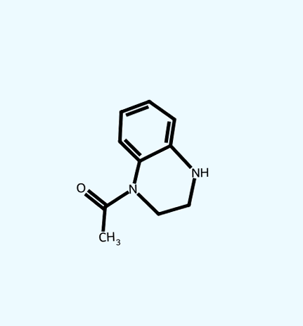 CC(=O)N1CCNc2ccccc21